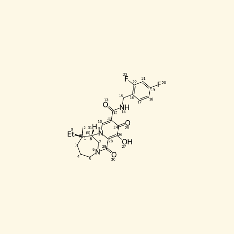 CC[C@]1(C)CCCN2C[C@H]1n1cc(C(=O)NCc3ccc(F)cc3F)c(=O)c(O)c1C2=O